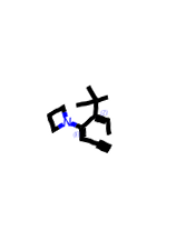 C#C/C=C(\C(=C/C)C(C)(C)C)N1CCC1